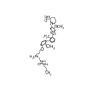 CCCNC(=O)NCCN(C)CCCOc1cccc(-c2cccc(-c3nc4cc(CN5CCCCC5C(=O)O)c(OC)cc4o3)c2C)c1C